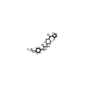 Cc1ccoc1C(=O)N1CCC(NC(=O)Nc2ccc(OC(F)(F)F)cc2)CC1